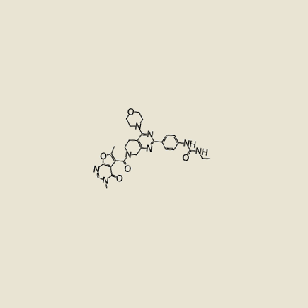 CCNC(=O)Nc1ccc(-c2nc3c(c(N4CCOCC4)n2)CCN(C(=O)c2c(C)oc4ncn(C)c(=O)c24)C3)cc1